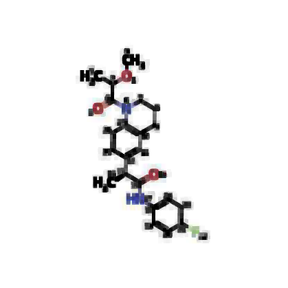 COC(C)C(=O)N1CCCc2cc([C@H](C)C(=O)Nc3ccc(F)cc3)ccc21